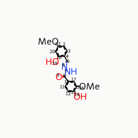 COc1ccc(C=NNC(=O)c2ccc(O)c(OC)c2)c(O)c1